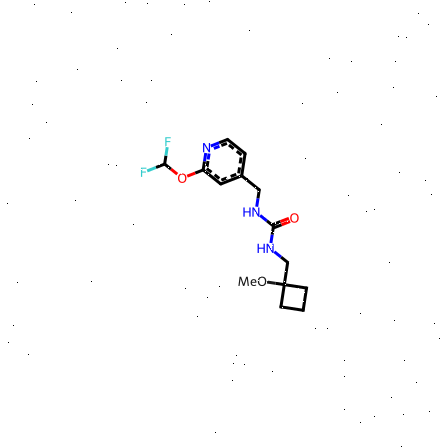 COC1(CNC(=O)NCc2ccnc(OC(F)F)c2)CCC1